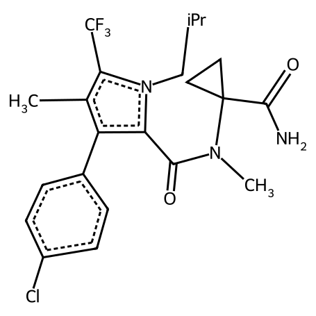 Cc1c(-c2ccc(Cl)cc2)c(C(=O)N(C)C2(C(N)=O)CC2)n(CC(C)C)c1C(F)(F)F